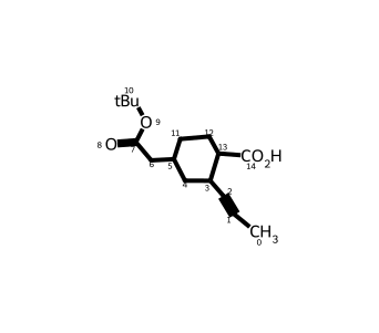 CC#CC1CC(CC(=O)OC(C)(C)C)CCC1C(=O)O